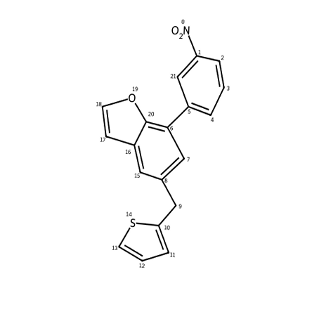 O=[N+]([O-])c1cccc(-c2cc(Cc3cccs3)cc3ccoc23)c1